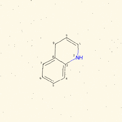 [C]1=CNc2ccccc2C1